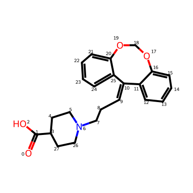 O=C(O)C1CCN(CCC=C2c3ccccc3OCOc3ccccc32)CC1